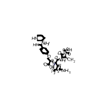 C[C@@H]1[C@H](NC(=O)/C(=N\OC(COc2ccc(C(=N)N[C@H]3CCCNC3)cc2)C(=O)O)c2nc(N)sc2C(F)(F)F)C(=O)N1S(=O)(=O)O